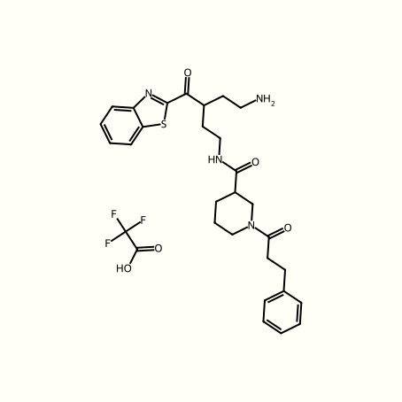 NCCC(CCNC(=O)C1CCCN(C(=O)CCc2ccccc2)C1)C(=O)c1nc2ccccc2s1.O=C(O)C(F)(F)F